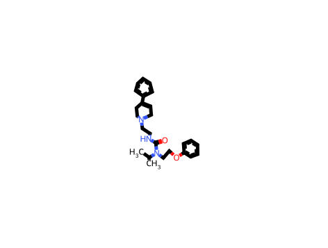 CC(C)N(CCOc1ccccc1)C(=O)NCCN1CC=C(c2ccccc2)CC1